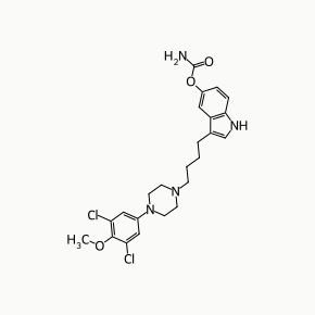 COc1c(Cl)cc(N2CCN(CCCCc3c[nH]c4ccc(OC(N)=O)cc34)CC2)cc1Cl